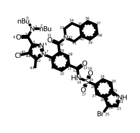 CCCCN(CCCC)C(=O)c1nn(-c2ccc(C(=O)NS(=O)(=O)c3ccc4[nH]cc(Br)c4c3)cc2C(=O)N2CCc3ccccc3C2)c(C)c1Cl